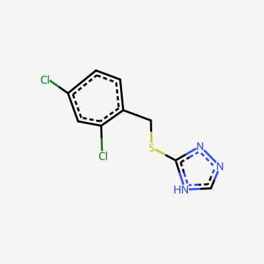 Clc1ccc(CSc2nnc[nH]2)c(Cl)c1